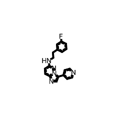 Fc1cccc(CCNc2ccc3ncc(-c4ccncc4)n3n2)c1